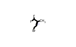 C/C(=C/CBr)C(F)F